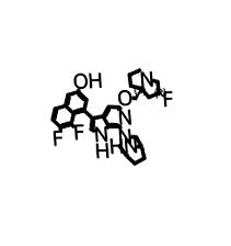 Oc1cc(-c2c[nH]c3c(N4CC5CCC(C4)N5)nc(OC[C@@]45CCCN4C[C@H](F)C5)cc23)c2c(F)c(F)ccc2c1